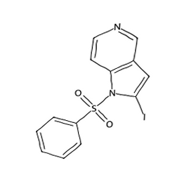 O=S(=O)(c1ccccc1)n1c(I)cc2cnccc21